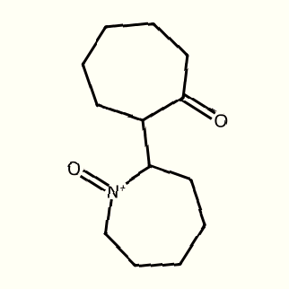 O=C1CCCCCC1C1CCCCC[N+]1=O